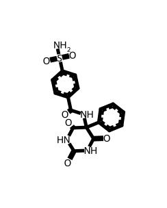 NS(=O)(=O)c1ccc(C(=O)NC2(c3ccccc3)C(=O)NC(=O)NC2=O)cc1